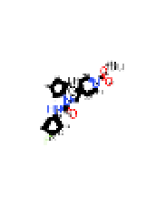 CC1(CN(C(=O)Nc2ccc(F)cc2)C2CCCC2)CCN(C(=O)OC(C)(C)C)CC1